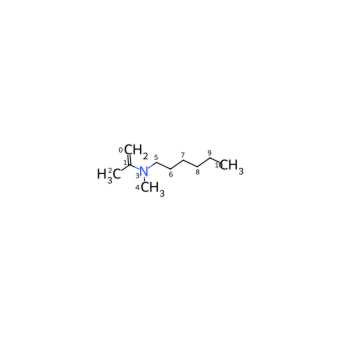 C=C(C)N(C)CCCCCC